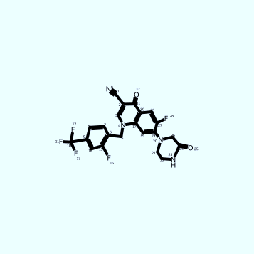 N#Cc1cn(Cc2ccc(C(F)(F)F)cc2F)c2cc(N3CCNC(=O)C3)c(F)cc2c1=O